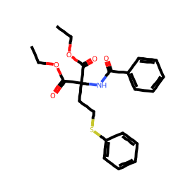 CCOC(=O)C(CCSc1ccccc1)(NC(=O)c1ccccc1)C(=O)OCC